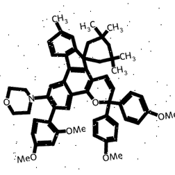 COc1ccc(C2(c3ccc(OC)cc3)C=Cc3c4c(c5cc(N6CCOCC6)c(-c6ccc(OC)cc6OC)cc5c3O2)-c2ccc(C)cc2C42CC(C)(C)CC(C)(C)C2)cc1